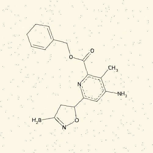 BC1=NOC(c2cc(N)c(C)c(C(=O)OCC3=CCCC=C3)n2)C1